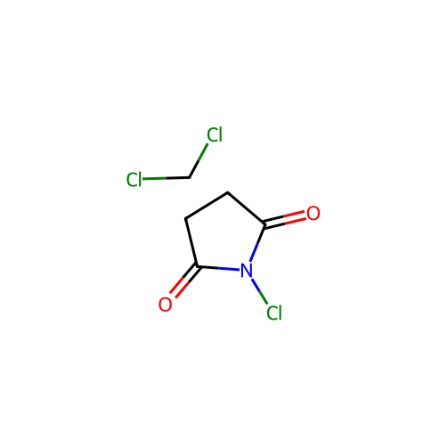 ClCCl.O=C1CCC(=O)N1Cl